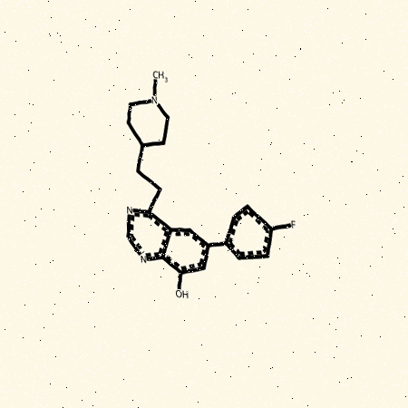 CN1CCC(CCc2ncnc3c(O)cc(-c4ccc(F)cc4)cc23)CC1